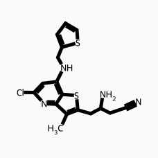 Cc1c(CC(N)CC#N)sc2c(NCc3cccs3)cc(Cl)nc12